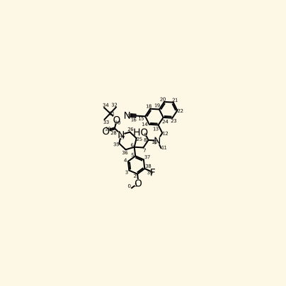 COc1ccc(C2(CC(O)N(C)Cc3cc(C#N)cc4ccccc34)CCN(C(=O)OC(C)(C)C)CC2)cc1F